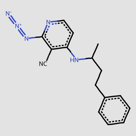 CC(CCc1ccccc1)Nc1ccnc(N=[N+]=[N-])c1C#N